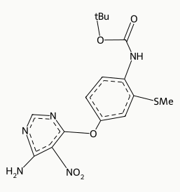 CSc1cc(Oc2ncnc(N)c2[N+](=O)[O-])ccc1NC(=O)OC(C)(C)C